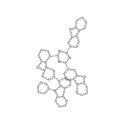 c1ccc(-n2c3ccccc3c3cccc(-c4ccc5oc6cccc(-c7nc(-c8ccc9c(c8)oc8ccccc89)nc(-c8ccc9c(c8)oc8ccccc89)n7)c6c5c4)c32)cc1